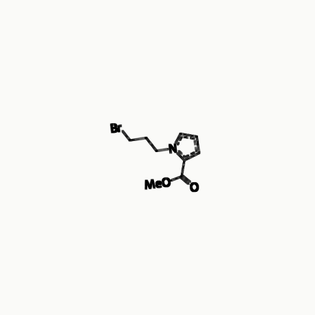 COC(=O)c1cccn1CCCBr